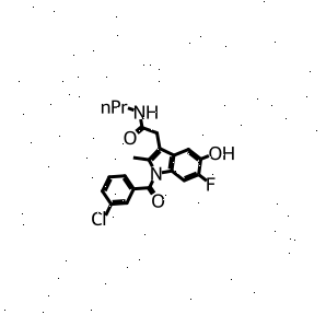 CCCNC(=O)Cc1c(C)n(C(=O)c2cccc(Cl)c2)c2cc(F)c(O)cc12